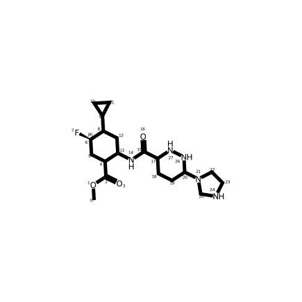 COC(=O)C1C[C@@H](F)C(C2CC2)CC1NC(=O)C1CCC(N2CCNC2)NN1